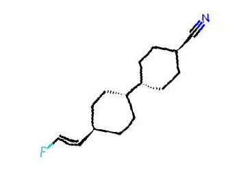 N#C[C@H]1CC[C@H]([C@H]2CC[C@H](C=CF)CC2)CC1